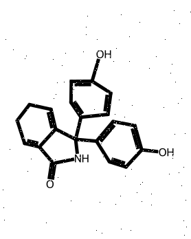 O=C1NC(c2ccc(O)cc2)(c2ccc(O)cc2)C2=CCCC=C12